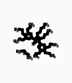 CCCCCC1=C(c2cc(CCC)c(CCC)c(CCC)c2)[N+](=[N-])C(c2cc(CCC)c(CCC)c(CCC)c2)=C1CCCC.C[CH2][Pd][CH2]C